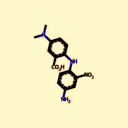 CN(C)c1ccc(Nc2ccc(N)cc2[N+](=O)[O-])c(C(=O)O)c1